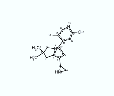 CC1(C)Cc2c(C3CN3)cc(-c3cc(Cl)ncc3I)n2C1